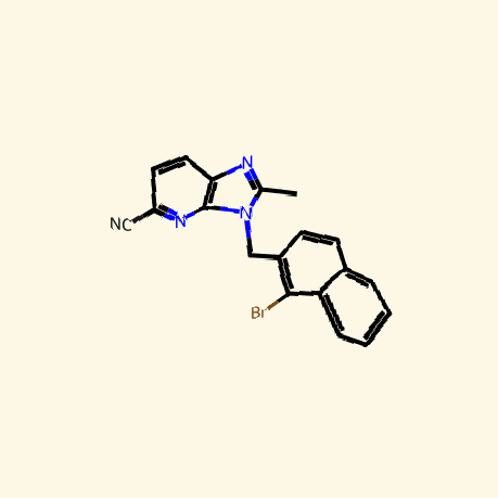 Cc1nc2ccc(C#N)nc2n1Cc1ccc2ccccc2c1Br